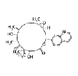 C[C@H]1CCC[C@@]2(C)O[C@H]2CC(c2ccc3cccnc3c2)OC(=O)C[C@H](O)C(C)(C)C(=O)[C@H](C)C1O